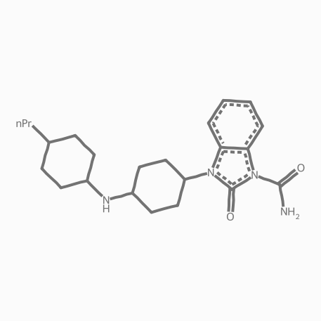 CCCC1CCC(NC2CCC(n3c(=O)n(C(N)=O)c4ccccc43)CC2)CC1